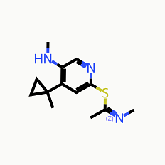 C/N=C(/C)Sc1cc(C2(C)CC2)c(NC)cn1